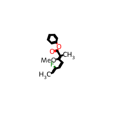 C/C=C(F)/C=C\C(OC)=C(/C)C(=O)Oc1ccccc1